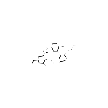 COc1c(Cl)cc(C(=O)O)cc1S(=O)(=O)Nc1cc(-c2ccccc2OCCO)c(F)cc1F